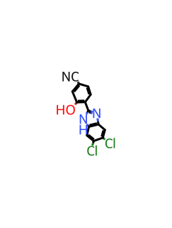 N#Cc1ccc(-c2nc3cc(Cl)c(Cl)cc3[nH]2)c(O)c1